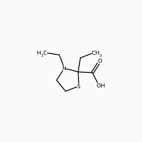 CCN1CCSC1(CC)C(=O)O